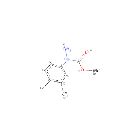 Cc1ccc(N(N)C(=O)OC(C)(C)C)cc1C(F)(F)F